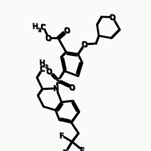 CCC1CCc2cc(CC(F)(F)F)ccc2N1S(=O)(=O)c1ccc(OCC2CCOCC2)c(C(=O)OC)c1